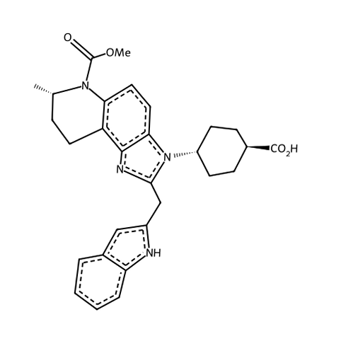 COC(=O)N1c2ccc3c(nc(Cc4cc5ccccc5[nH]4)n3[C@H]3CC[C@H](C(=O)O)CC3)c2CC[C@@H]1C